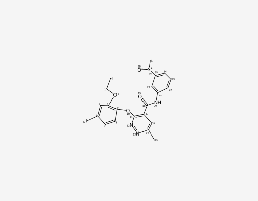 CCOc1cc(F)ccc1Oc1nnc(C)cc1C(=O)Nc1cccc([S+](C)[O-])c1